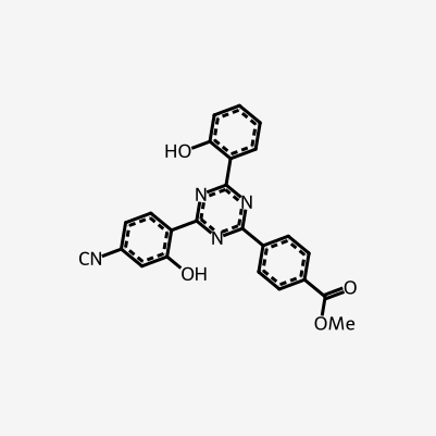 [C-]#[N+]c1ccc(-c2nc(-c3ccc(C(=O)OC)cc3)nc(-c3ccccc3O)n2)c(O)c1